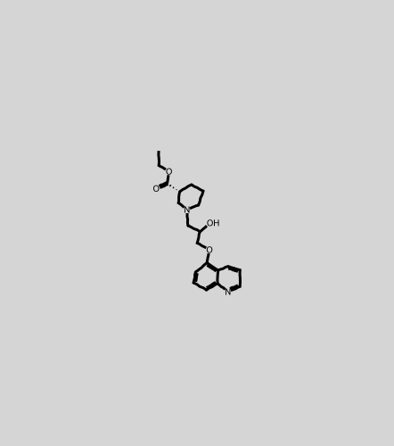 CCOC(=O)[C@@H]1CCCN(CC(O)COc2cccc3ncccc23)C1